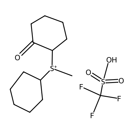 C[S+](C1CCCCC1)C1CCCCC1=O.O=S(=O)(O)C(F)(F)F